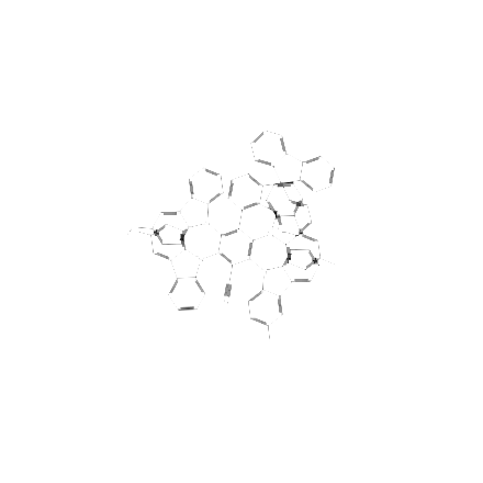 Cc1ccc2c(c1)c1ccccc1n2-c1c(C#N)c(-n2c3ccccc3c3cc(C)ccc32)c(-n2c3ccccc3c3cc(C)ccc32)c(-c2cccc3c2-c2ncccc2C32c3ccccc3-c3ccccc32)c1-n1c2ccccc2c2cc(C)ccc21